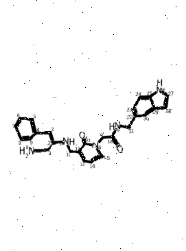 NC[C@@H](Cc1ccccc1)NCc1cccn(CC(=O)NCc2ccc3[nH]ccc3c2)c1=O